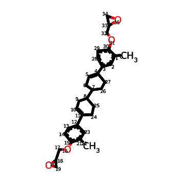 Cc1cc(C2=CCC(C3CC=C(c4ccc(OCC5CO5)c(C)c4)CC3)CC2)ccc1OCC1CO1